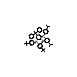 CC(C)c1ccc(N2C3=CC(C(C)(c4ccccc4)c4ccccc4)CC4C3B(c3cc(C(C)C)ccc32)c2cc(C(C)(C)C)ccc2N4c2ccc(C(C)(C)C)cc2)cc1